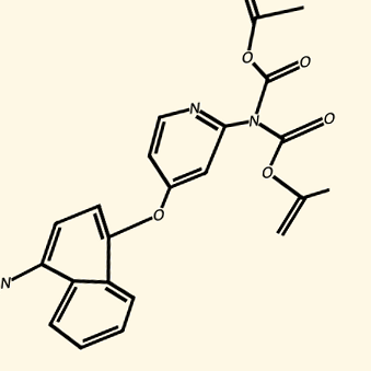 C=C(C)OC(=O)N(C(=O)OC(=C)C)c1cc(Oc2ccc([N+](=O)[O-])c3ccccc23)ccn1